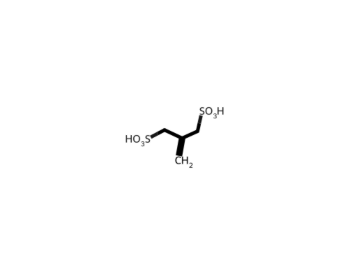 C=C(CS(=O)(=O)O)CS(=O)(=O)O